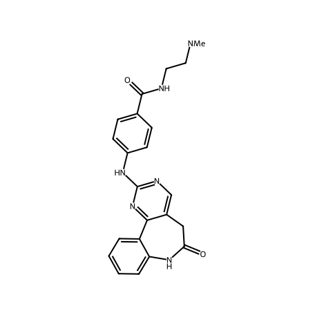 CNCCNC(=O)c1ccc(Nc2ncc3c(n2)-c2ccccc2NC(=O)C3)cc1